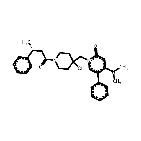 C[C@H](CC(=O)N1CCC(O)(Cn2cc(-c3ccccc3)c(N(C)C)cc2=O)CC1)c1ccccc1